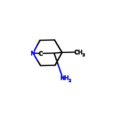 CC12CCN(CC1)CC2N